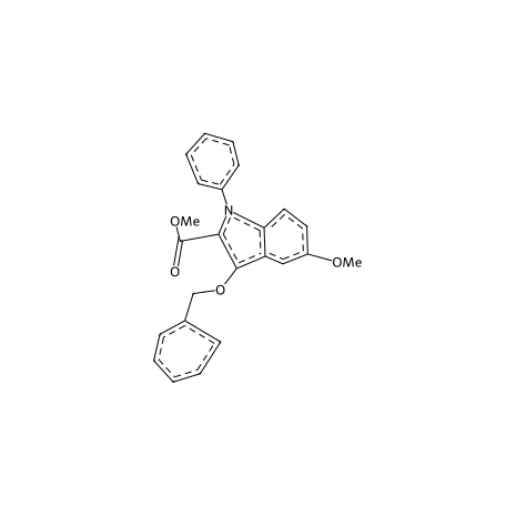 COC(=O)c1c(OCc2ccccc2)c2cc(OC)ccc2n1-c1ccccc1